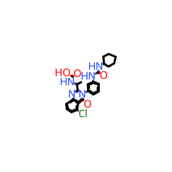 CC(NC(=O)O)c1nc2cccc(Cl)c2c(=O)n1-c1cccc(NC(=O)NC2CCCCC2)c1